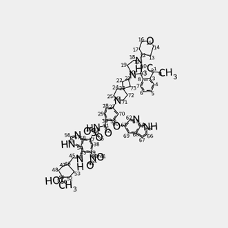 CC(C)c1ccccc1C1CN(C2CCOCC2)CCN1C1CC2(CCN(c3ccc(C(=O)NS(=O)(=O)c4cc([N+](=O)[O-])c(NCC5CCC(C)(O)CC5)c5[nH]cnc45)c(Oc4cnc5[nH]ccc5c4)c3)CC2)C1